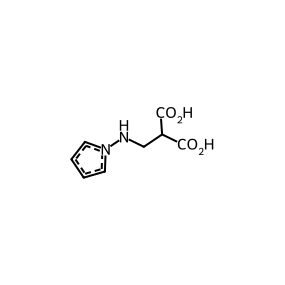 O=C(O)C(CNn1cccc1)C(=O)O